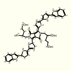 CCCCCCCCCCCCC(CCCCCCCCCC)CN1C(=O)C2=C(C3CN=C(C4=CCC(c5cc6ccccc6s5)S4)S3)N(CC(CCC)CCCCCCCCCCCC)C(=O)C2=C1c1cnc(-c2ccc(-c3cc4ccccc4s3)s2)s1